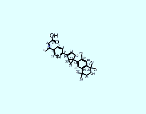 C/C(=C/C(=O)O)c1ccc(C2=CCC3(c4cc5c(cc4C)C(C)(C)CCC5(C)C)CC23)nc1